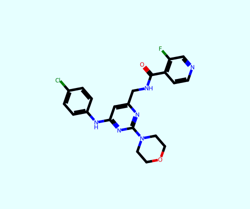 O=C(NCc1cc(Nc2ccc(Cl)cc2)nc(N2CCOCC2)n1)c1ccncc1F